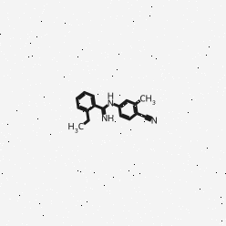 CCc1ccccc1C(=N)Nc1ccc(C#N)c(C)c1